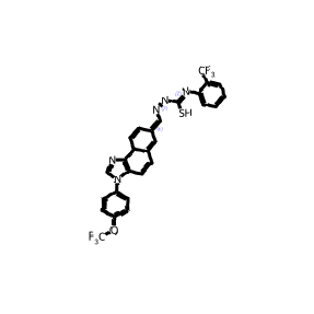 FC(F)(F)Oc1ccc(-n2cnc3c2C=CC2=C/C(=C/N=N\C(S)=N\c4ccccc4C(F)(F)F)C=CC23)cc1